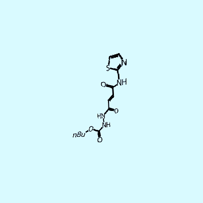 CCCCOC(=O)NNC(=O)C=CC(=O)Nc1nccs1